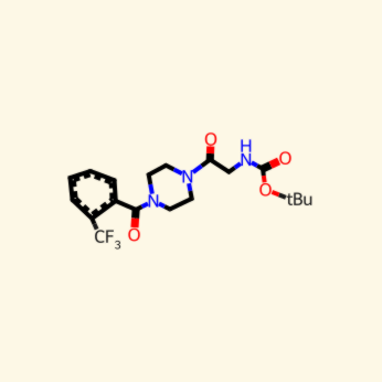 CC(C)(C)OC(=O)NCC(=O)N1CCN(C(=O)c2ccccc2C(F)(F)F)CC1